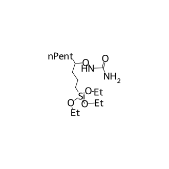 CCCCCC(CCC[Si](OCC)(OCC)OCC)ONC(N)=O